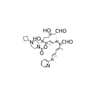 C/C(=C\C=C\[C@H](C)c1ccccn1)[C@@H](C=O)[C@@H](C)/C=C/[C@H](OC(=O)N1CCN(C2CCC2)CC1)[C@@](C)(O)CC[C@H](O)CC=O